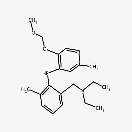 CCN(CC)Cc1cccc(C)c1Pc1cc(C)ccc1OCOC